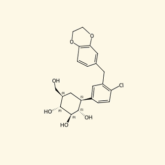 OC[C@H]1C[C@@H](c2ccc(Cl)c(Cc3ccc4c(c3)OCCO4)c2)[C@H](O)[C@@H](O)[C@@H]1O